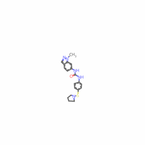 Cn1ncc2ccc(NC(=O)Nc3ccc(SN4CCCC4)cc3)cc21